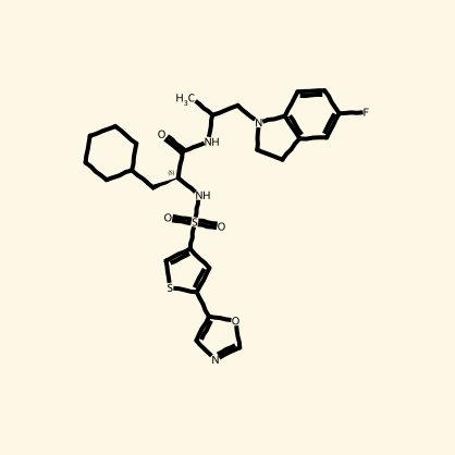 CC(CN1CCc2cc(F)ccc21)NC(=O)[C@H](CC1CCCCC1)NS(=O)(=O)c1csc(-c2cnco2)c1